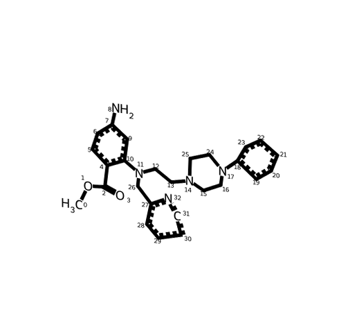 COC(=O)c1ccc(N)cc1N(CCN1CCN(c2ccccc2)CC1)Cc1ccccn1